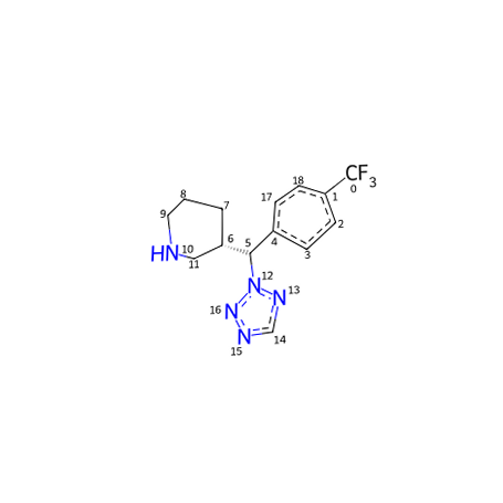 FC(F)(F)c1ccc(C([C@H]2CCCNC2)n2ncnn2)cc1